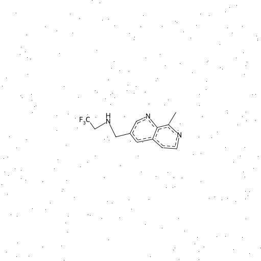 Cc1nccc2cc(CNCC(F)(F)F)cnc12